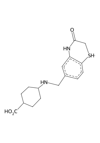 O=C1C[SH]c2ccc(CNC3CCC(C(=O)O)CC3)cc2N1